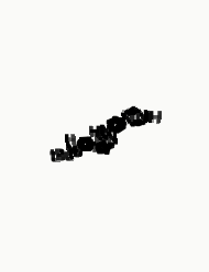 CC(C)(C)NSc1cccc(N2CCc3cnc(Nc4ccc(N5CCNCC5)cc4)nc32)c1